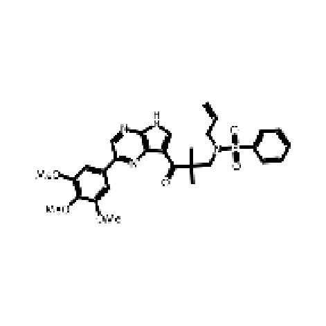 C=CCN(CC(C)(C)C(=O)c1c[nH]c2ncc(-c3cc(OC)c(OC)c(OC)c3)nc12)S(=O)(=O)c1ccccc1